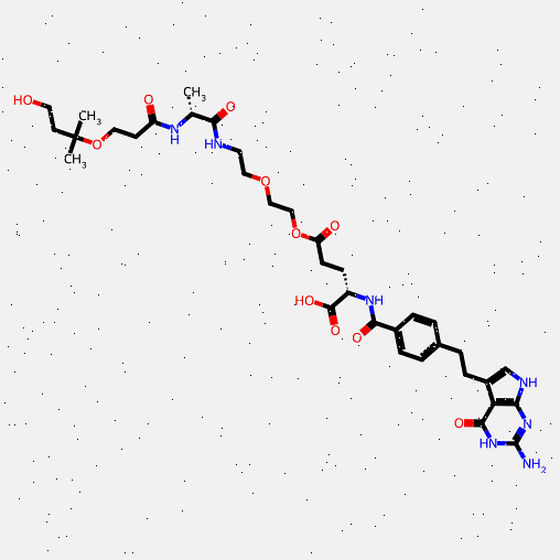 C[C@@H](NC(=O)CCOC(C)(C)CCO)C(=O)NCCOCCOC(=O)CC[C@H](NC(=O)c1ccc(CCc2c[nH]c3nc(N)[nH]c(=O)c23)cc1)C(=O)O